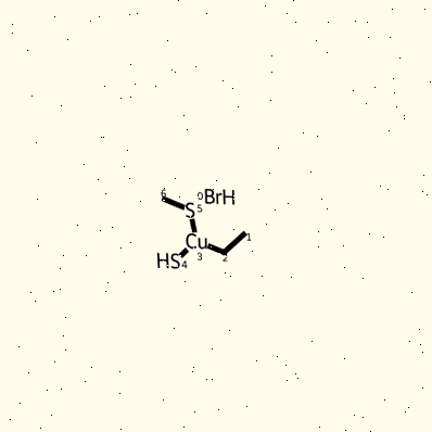 Br.C[CH2][Cu]([SH])[S]C